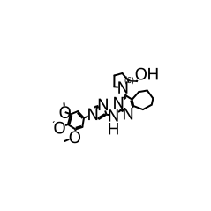 COc1cc(-n2cnc(Nc3nc4c(c(N5CCC[C@H]5CO)n3)CCCCC4)c2)cc(OC)c1OC